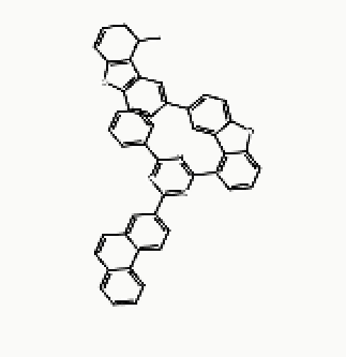 CC1CC=Cc2oc3ccc(-c4ccc5oc6cccc(-c7nc(-c8ccccc8)nc(-c8ccc9c(ccc%10ccccc%109)c8)n7)c6c5c4)cc3c21